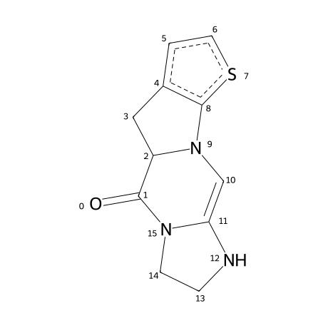 O=C1C2Cc3ccsc3N2C=C2NCCN12